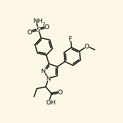 CCC(C(=O)O)n1cc(-c2ccc(OC)c(F)c2)c(-c2ccc(S(N)(=O)=O)cc2)n1